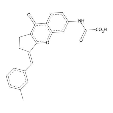 Cc1cccc(C=C2CCc3c2oc2cc(NC(=O)C(=O)O)ccc2c3=O)c1